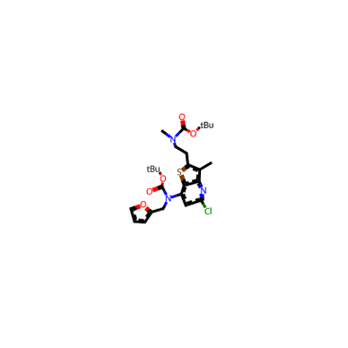 Cc1c(CCN(C)C(=O)OC(C)(C)C)sc2c(N(Cc3ccco3)C(=O)OC(C)(C)C)cc(Cl)nc12